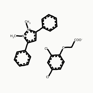 Cn1c(-c2ccccc2)cc(-c2ccccc2)[n+]1C.O=C([O-])COc1ccc(Cl)cc1Cl